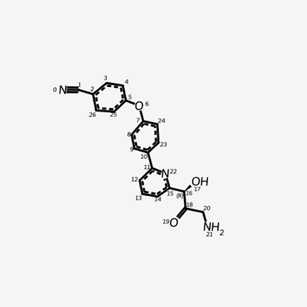 N#Cc1ccc(Oc2ccc(-c3cccc([C@@H](O)C(=O)CN)n3)cc2)cc1